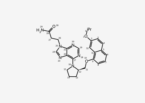 CC(C)Oc1ccc2cccc(OC[C@H]3CCCN3c3ncnc4c3ncn4CCC(N)=O)c2c1